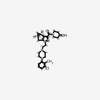 Cc1c(Cl)cccc1N1CCN(CCn2nc(C(=O)N3CCC(O)CC3)c3c2C[C@H]2C[C@@H]32)CC1